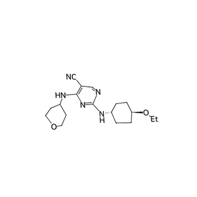 CCO[C@H]1CC[C@H](Nc2ncc(C#N)c(NC3CCOCC3)n2)CC1